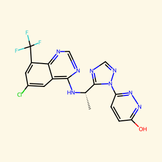 C[C@H](Nc1ncnc2c(C(F)(F)F)cc(Cl)cc12)c1ncnn1-c1ccc(O)nn1